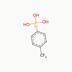 O[PH](O)(O)c1ccc(C(F)(F)F)cc1